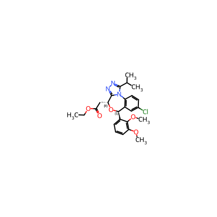 CCOC(=O)C[C@H]1O[C@H](c2cccc(OC)c2OC)c2cc(Cl)ccc2-n2c(C(C)C)nnc21